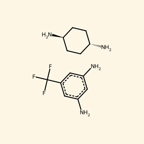 N[C@H]1CC[C@H](N)CC1.Nc1cc(N)cc(C(F)(F)F)c1